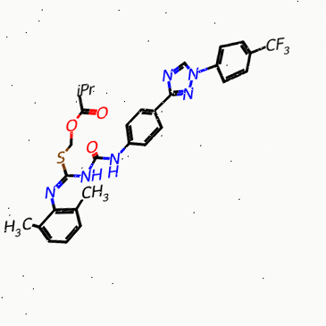 Cc1cccc(C)c1/N=C(\NC(=O)Nc1ccc(-c2ncn(-c3ccc(C(F)(F)F)cc3)n2)cc1)SCOC(=O)C(C)C